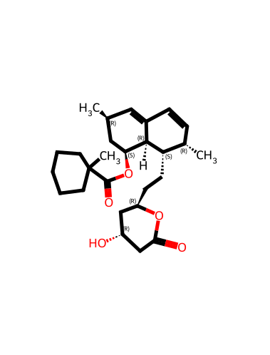 C[C@H]1C=C2C=C[C@H](C)[C@H](CC[C@@H]3C[C@@H](O)CC(=O)O3)[C@H]2[C@@H](OC(=O)C2(C)CCCCC2)C1